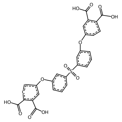 O=C(O)c1ccc(Oc2cccc(S(=O)(=O)c3cccc(Oc4ccc(C(=O)O)c(C(=O)O)c4)c3)c2)cc1C(=O)O